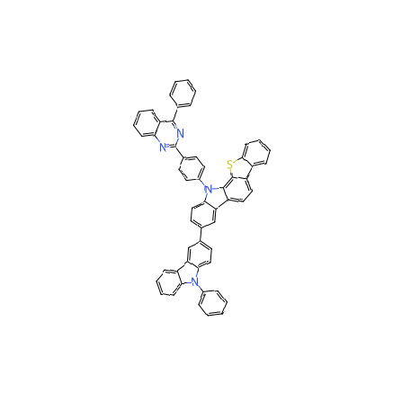 c1ccc(-c2nc(-c3ccc(-n4c5ccc(-c6ccc7c(c6)c6ccccc6n7-c6ccccc6)cc5c5ccc6c7ccccc7sc6c54)cc3)nc3ccccc23)cc1